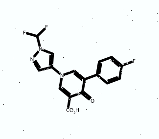 O=C(O)c1cn(-c2cnn(C(F)F)c2)cc(-c2ccc(F)cc2)c1=O